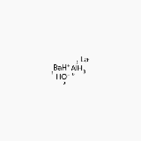 [AlH3].[BaH+].[La].[OH-]